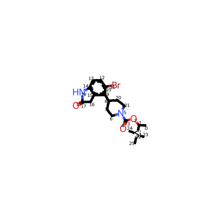 CC(OC(=O)N1CCC(c2c(Br)ccc3c2CC(=O)N3)CC1)[Si](C)(C)C